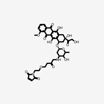 COc1cccc2c1C(=O)c1c(O)c3c(c(O)c1C2=O)C[C@@](O)(C(=O)CO)CC3O[C@@H]1CC(NCC(=O)CCOCCN2C(=O)C=CC2=O)C(O)C(C)O1